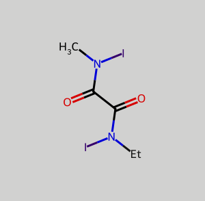 CCN(I)C(=O)C(=O)N(C)I